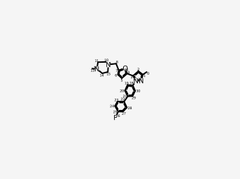 Cc1cc(-c2ccc(CN3CCN(C)CC3)o2)n(-c2ccc(-c3ccc(F)cc3)cc2)n1